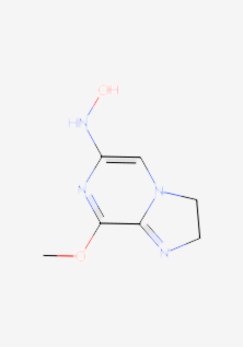 COC1=NC(NO)=CN2CCN=C12